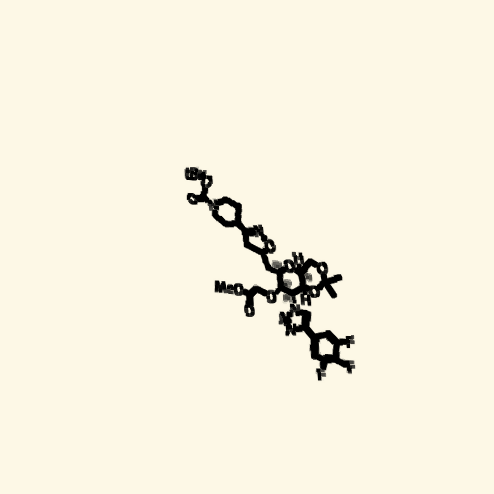 COC(=O)CO[C@@H]1[C@@H](n2cc(-c3cc(F)c(F)c(F)c3)nn2)[C@H]2OC(C)(C)OC[C@H]2O[C@@H]1CC1CC(C2CCN(C(=O)OC(C)(C)C)CC2)=NO1